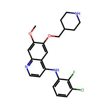 COc1cc2nccc(Nc3cccc(Cl)c3F)c2cc1OCC1CCNCC1